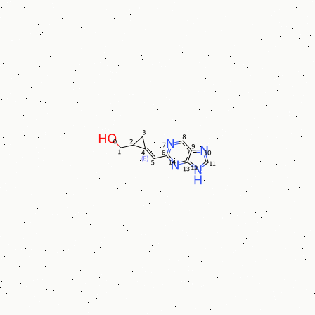 OCC1C/C1=C\c1ncc2nc[nH]c2n1